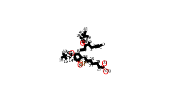 CC#CCC(C)[C@@H](/C=C/[C@H]1[C@H](O[Si](C)(C)C(C)(C)C)CC(=O)[C@@H]1C/C(Br)=C/CCCC(=O)OC)O[Si](C)(C)C(C)(C)C